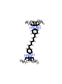 CCC1(CC)NC2(CCC(CCCCCCC3CCC4(CC3)NC(CC)(CC)C(CC)(CC)N4)CC2)NC1(CC)CC